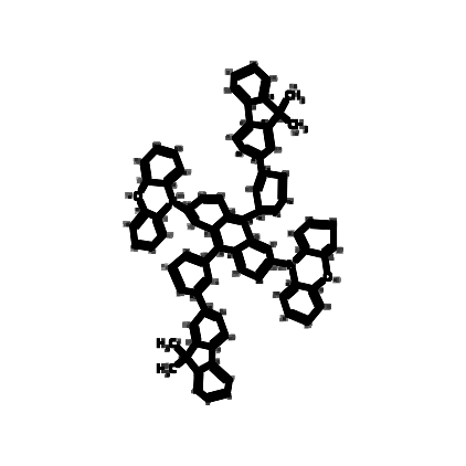 CC1(C)c2ccccc2-c2ccc(-c3cccc(-c4c5ccc(N6c7ccccc7Oc7ccccc76)cc5c(-c5cccc(-c6ccc7c(c6)C(C)(C)c6ccccc6-7)c5)c5ccc(N6c7ccccc7Oc7ccccc76)cc45)c3)cc21